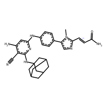 Cn1c(-c2ccc(Nc3cc(N)c(C#N)c(NC45CC6CC(CC(C6)C4)C5)n3)cc2)cnc1/C=C/C(N)=O